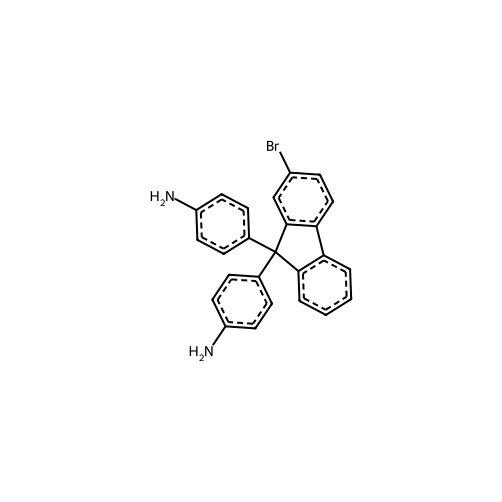 Nc1ccc(C2(c3ccc(N)cc3)c3ccccc3-c3ccc(Br)cc32)cc1